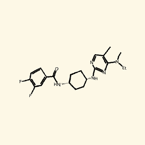 CCN(C)c1nc(N[C@H]2CC[C@@H](NC(=O)c3ccc(F)c(F)c3)CC2)ncc1C